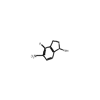 O=[N+]([O-])c1ccc2c(c1F)CCC2O